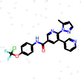 Cc1ccnn1-c1ncc(C(=O)Nc2ccc(OC(F)(F)Cl)cc2)cc1-c1cccnc1